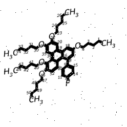 CCCCCOc1cc(-c2ccc(F)cc2)c2c(c1)c1cc(OCCCCC)c(OCCCCC)cc1c1c(OCCCCC)c(OCCCCC)ccc21